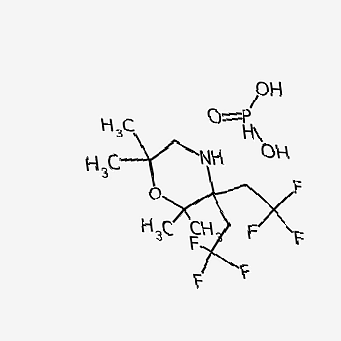 CC1(C)CNC(CC(F)(F)F)(CC(F)(F)F)C(C)(C)O1.O=[PH](O)O